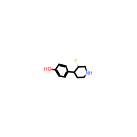 Oc1ccc(C2CCNC[C@H]2F)cc1